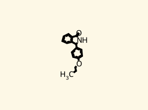 CCCOc1ccc(C2NC(=O)c3ccccc32)cc1